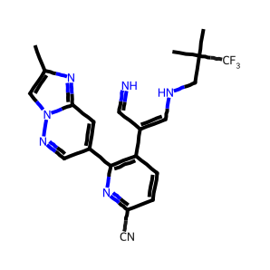 Cc1cn2ncc(-c3nc(C#N)ccc3/C(C=N)=C/NCC(C)(C)C(F)(F)F)cc2n1